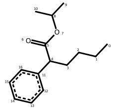 CCCCC(C(=O)OC(C)C)c1ccccc1